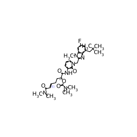 CN(C)C(=O)/C=C/CC[C@H](OC(=O)N(C)C)C(=O)Nc1cccn(Cc2nc3c(CC(C)(C)C)cc(F)cc3n2C)c1=O